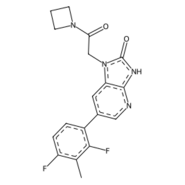 Cc1c(F)ccc(-c2cnc3[nH]c(=O)n(CC(=O)N4CCC4)c3c2)c1F